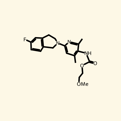 COCCOC(=O)Nc1c(C)cc(N2CCc3cc(F)ccc3C2)nc1C